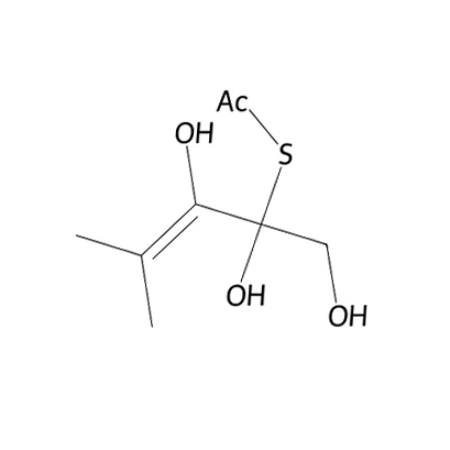 CC(=O)SC(O)(CO)C(O)=C(C)C